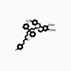 COc1cc2c(cc1OC)C(Cc1ccc([N+](=O)[O-])cc1)N(CCCC(CCCC(=O)CCc1ccc(F)cc1)(c1ccccc1)c1ccccc1)CC2